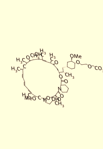 CO[C@H]1C[C@@H]2CC[C@@H](C)[C@@](O)(O2)C(=O)C(=O)N2CCCCC2C(=O)O[C@H]([C@@H](C)C[C@H]2CC[C@@H](OCCOCC(=O)O)[C@H](OC)C2)CC(=O)[C@H](C)/C=C(\C)[C@@H](O)[C@@H](C)C(=O)[C@H](C)C[C@H](C)/C=C/C=C/C=C/1C